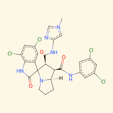 Cn1cnc(NC(=O)[C@H]2[C@@H](C(=O)Nc3cc(Cl)cc(Cl)c3)[C@H]3CCCN3C23C(=O)Nc2c(Cl)cc(Cl)cc23)c1